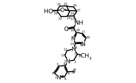 CC1CN(c2ccncc2F)CCN1c1nccc(C(=O)NC2C3CC4CC2CC(O)(C4)C3)n1